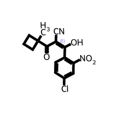 CC1(C(=O)/C(C#N)=C(/O)c2ccc(Cl)cc2[N+](=O)[O-])CCC1